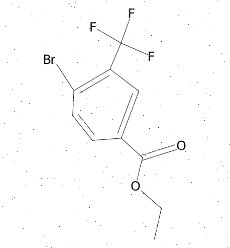 CCOC(=O)c1ccc(Br)c(C(F)(F)F)c1